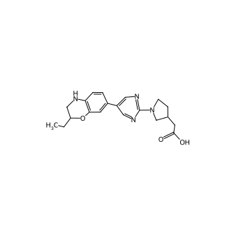 CCC1CNc2ccc(-c3cnc(N4CCC(CC(=O)O)C4)nc3)cc2O1